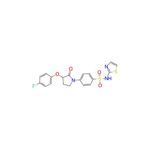 O=C1C(Oc2ccc(F)cc2)CCN1c1ccc(S(=O)(=O)Nc2nccs2)cc1